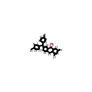 Cc1ccc(C(c2ccc(C)cc2)c2ccc3c(c2)C(=O)c2cc(C)cc(C)c2C3)cc1